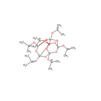 C[SiH](C)O[Si]12O[Si]3(O[SiH](C)C)O[Si](O[SiH](C)C)(O1)O[Si]1(O[SiH](C)C)O[Si](O[SiH](C)C)(O[Si](O[SiH](C)C)(O1)O3)O2